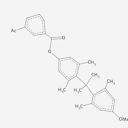 COc1cc(C)c(C(C)(C)c2c(C)cc(OC(=O)c3cccc(C(C)=O)c3)cc2C)c(C)c1